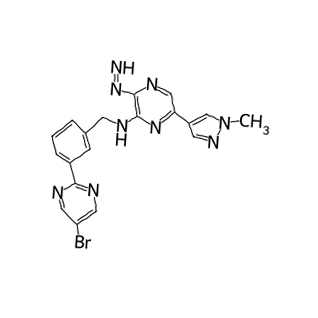 Cn1cc(-c2cnc(N=N)c(NCc3cccc(-c4ncc(Br)cn4)c3)n2)cn1